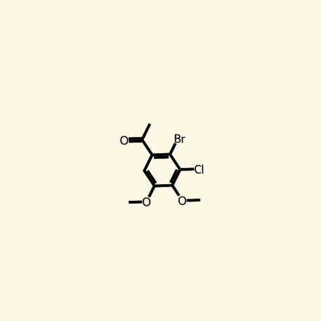 COc1cc(C(C)=O)c(Br)c(Cl)c1OC